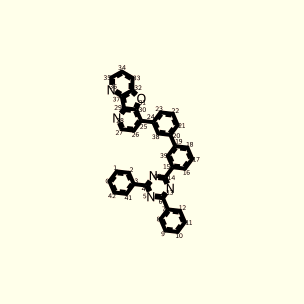 c1ccc(-c2nc(-c3ccccc3)nc(-c3cccc(-c4cccc(-c5ccnc6c5oc5cccnc56)c4)c3)n2)cc1